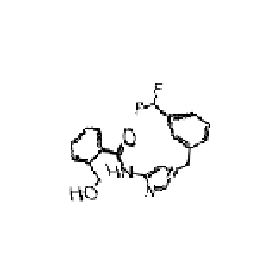 O=C(Nc1cn(Cc2cccc(C(F)F)c2)cn1)c1ccccc1CO